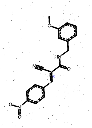 COc1cccc(CNC(=O)/C(C#N)=C/c2ccc([N+](=O)[O-])cc2)c1